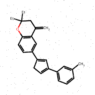 C=C1CC(CC)(CC)Oc2ccc(C3=CC(c4cccc(C)c4)=CC3)cc21